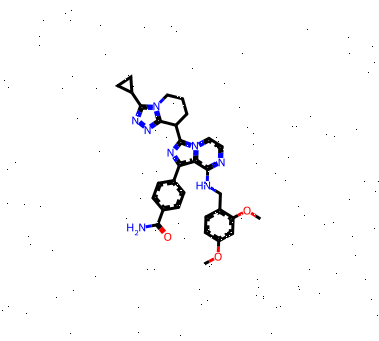 COc1ccc(CNc2nccn3c(C4CCCn5c(C6CC6)nnc54)nc(-c4ccc(C(N)=O)cc4)c23)c(OC)c1